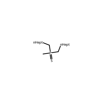 CCCCCCCCP(C)(=S)CCCCCCCC